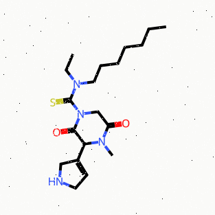 CCCCCCCN(CC)C(=S)N1CC(=O)N(C)C(C2=CCNC2)C1=O